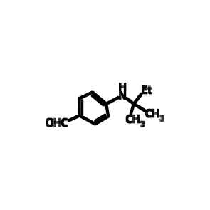 CCC(C)(C)Nc1ccc(C=O)cc1